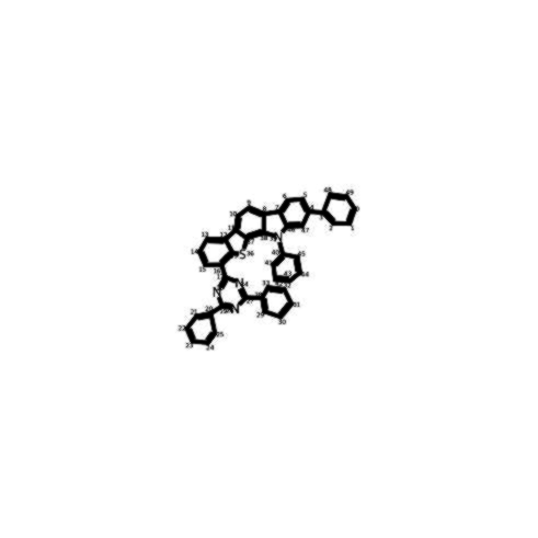 c1ccc(-c2ccc3c4ccc5c6cccc(-c7nc(-c8ccccc8)nc(-c8ccccc8)n7)c6sc5c4n(-c4ccccc4)c3c2)cc1